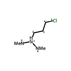 CN[SiH](CCCCl)NC